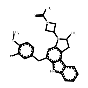 COc1ccc(Cc2nc3c(c4c2[nH]c2ccccc24)CC(C)N3C2CN(C(C)=O)C2)cc1F